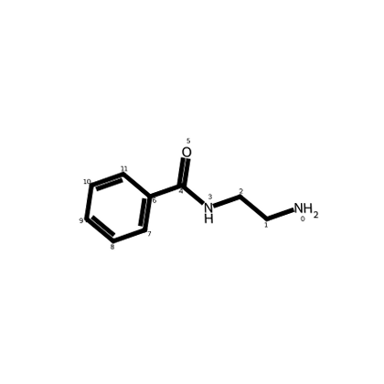 NCCNC(=O)c1cc[c]cc1